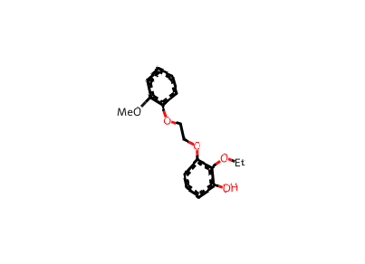 CCOc1c(O)cccc1OCCOc1ccccc1OC